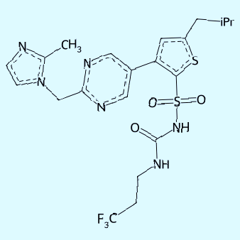 Cc1nccn1Cc1ncc(-c2cc(CC(C)C)sc2S(=O)(=O)NC(=O)NCCC(F)(F)F)cn1